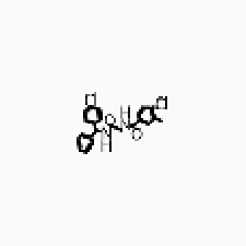 Cc1cc(C(=O)NCC(=O)NC(c2ccccc2)c2ccc(Cl)cc2)ccc1Cl